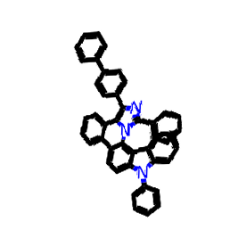 c1ccc(-c2ccc(-c3nc(-c4ccccc4)n4c3c3ccccc3c3ccc5c(c6ccccc6n5-c5ccccc5)c34)cc2)cc1